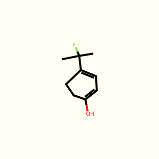 CC(C)(F)C1=CC=C(O)CC1